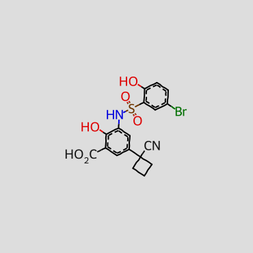 N#CC1(c2cc(NS(=O)(=O)c3cc(Br)ccc3O)c(O)c(C(=O)O)c2)CCC1